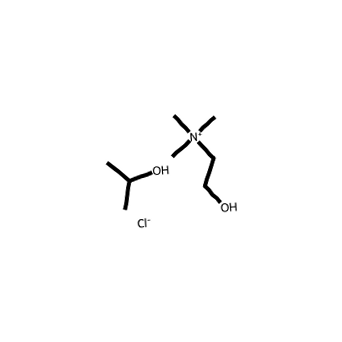 CC(C)O.C[N+](C)(C)CCO.[Cl-]